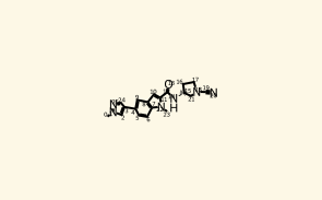 Cn1cc(-c2ccc3c(c2)cc(C(=O)N[C@@H]2CCN(C#N)C2)n3C)cn1